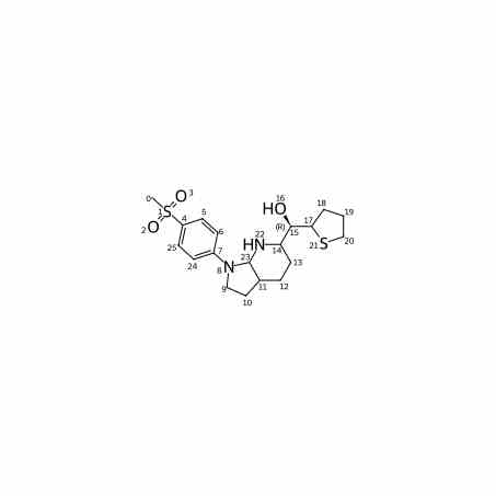 CS(=O)(=O)c1ccc(N2CCC3CCC([C@@H](O)C4CCCS4)NC32)cc1